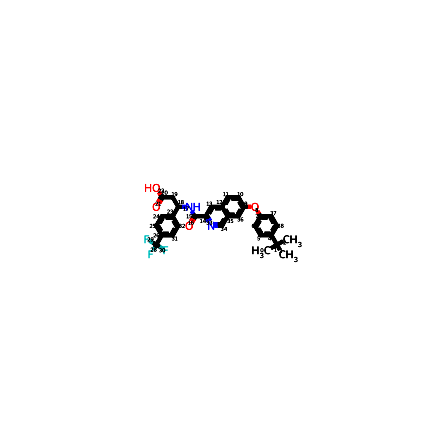 CC(C)(C)c1ccc(Oc2ccc3cc(C(=O)NC(CC(=O)O)c4ccc(C(F)(F)F)cc4)ncc3c2)cc1